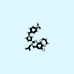 CC(C)CN(Cc1cc(Cl)c2c(c1)OCCCO2)C(=O)[C@@H]1CCN(Cc2ccc(N(C)C)cc2)C1